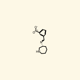 O=[N+]([O-])c1cccc(C=N[C@@H]2CCCCNC2)c1